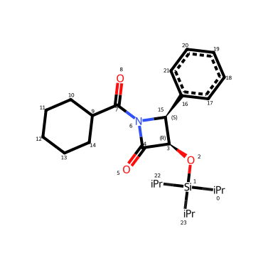 CC(C)[Si](O[C@H]1C(=O)N(C(=O)C2CCCCC2)[C@H]1c1ccccc1)(C(C)C)C(C)C